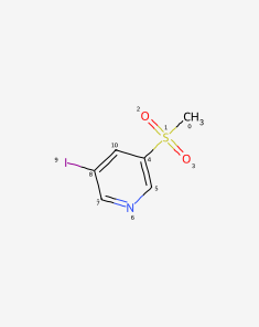 CS(=O)(=O)c1cn[c]c(I)c1